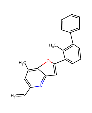 C=Cc1cc(C)c2oc(-c3cccc(-c4ccccc4)c3C)cc2n1